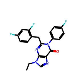 CCn1cnc2c(=O)n(-c3ccc(F)cc3)c(Cc3ccc(F)cc3F)nc21